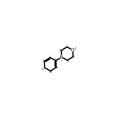 C1=CC(N2CCOCC2)=CCC1